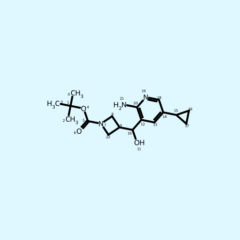 CC(C)(C)OC(=O)N1CC(C(O)c2cc(C3CC3)cnc2N)C1